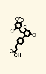 O=C(O)/C=C/c1ccc(-c2cc(Cl)cc(Cl)c2Cc2cc3c(cc2Cl)OCO3)cc1